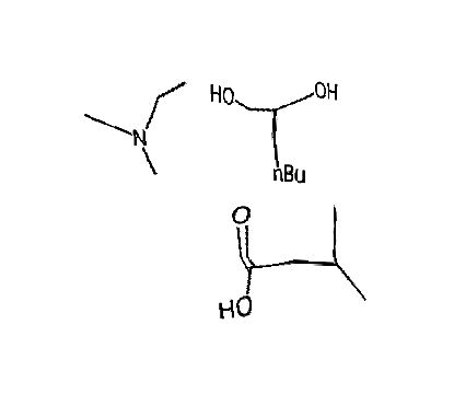 CC(C)C(=O)O.CCCCC(O)O.CN(C)C